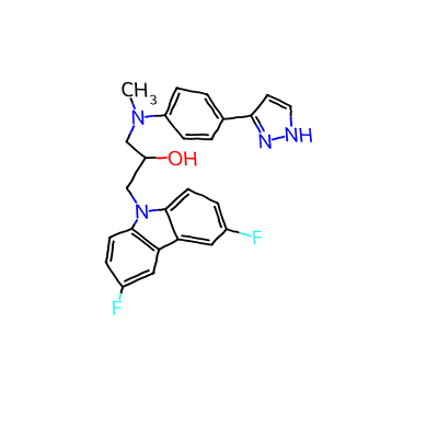 CN(CC(O)Cn1c2ccc(F)cc2c2cc(F)ccc21)c1ccc(-c2cc[nH]n2)cc1